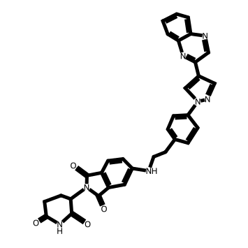 O=C1CCC(N2C(=O)c3ccc(NCCc4ccc(-n5cc(-c6cnc7ccccc7n6)cn5)cc4)cc3C2=O)C(=O)N1